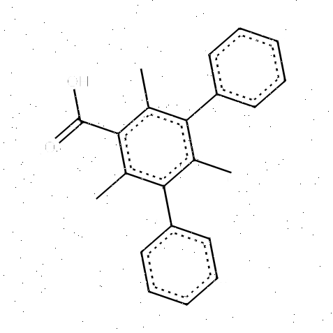 Cc1c(C(=O)O)c(C)c(-c2ccccc2)c(C)c1-c1ccccc1